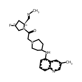 CN=C[C@@H]1C[C@H](F)CN1C(=O)CN1CCC(Nc2cccc3ncc(C)cc23)CC1